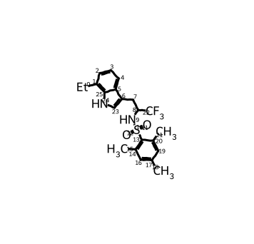 CCc1cccc2c(CC(NS(=O)(=O)c3c(C)cc(C)cc3C)C(F)(F)F)c[nH]c12